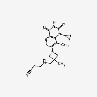 Cc1c(N2CC(C)(CNCCC#N)C2)ccc2c(=O)[nH]c(=O)n(C3CC3)c12